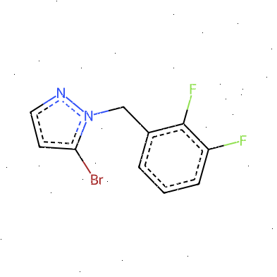 Fc1cccc(Cn2nccc2Br)c1F